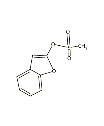 CS(=O)(=O)Oc1cc2ccccc2o1